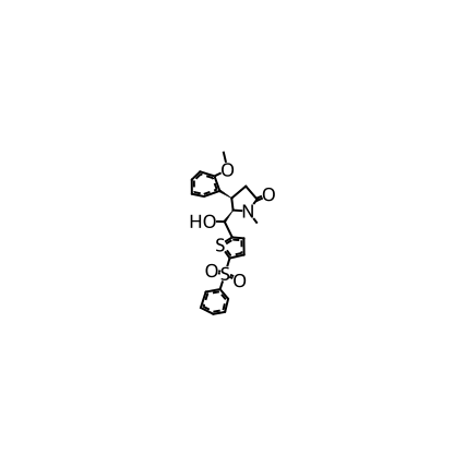 COc1ccccc1[C@H]1CC(=O)N(C)[C@H]1C(O)c1ccc(S(=O)(=O)c2ccccc2)s1